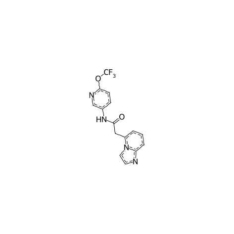 O=C(Cc1cccc2nccn12)Nc1ccc(OC(F)(F)F)nc1